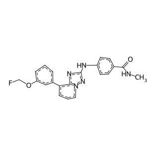 CNC(=O)c1ccc(Nc2nc3c(-c4cccc(OCF)c4)cccn3n2)cc1